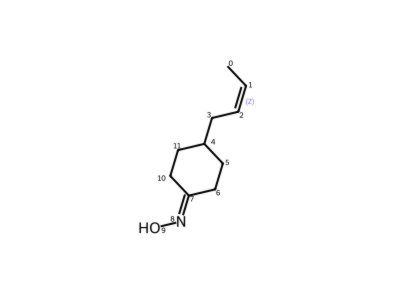 C/C=C\CC1CCC(=NO)CC1